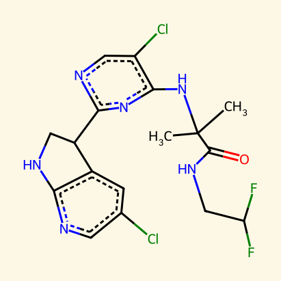 CC(C)(Nc1nc(C2CNc3ncc(Cl)cc32)ncc1Cl)C(=O)NCC(F)F